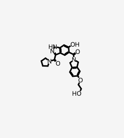 O=C(c1cc2c(C(=O)N3CCCC3)n[nH]c2cc1O)N1Cc2ccc(OCCO)cc2C1